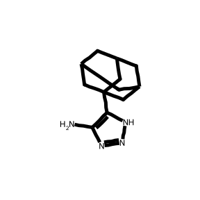 Nc1nn[nH]c1C12CC3CC(CC(C3)C1)C2